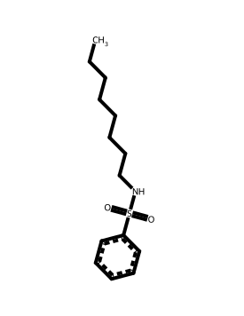 CCCCCCCCNS(=O)(=O)c1ccccc1